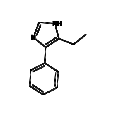 CCc1[nH]cnc1-c1ccccc1